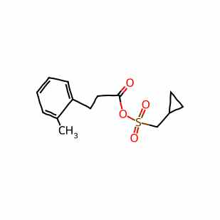 Cc1ccccc1CCC(=O)OS(=O)(=O)CC1CC1